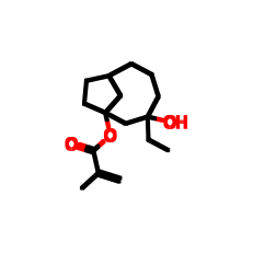 C=C(C)C(=O)OC12CCC(CCCC(O)(CC)C1)C2